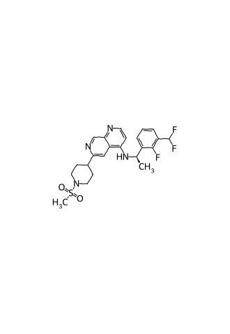 C[C@@H](Nc1ccnc2cnc(C3CCN(S(C)(=O)=O)CC3)cc12)c1cccc(C(F)F)c1F